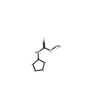 [CH2]CCCOC(=O)NC1CCCC1